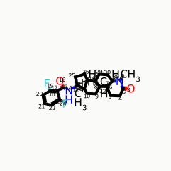 CN1C(=O)CC[C@]2(C)[C@H]3CC[C@]4(C)C(NC(=O)c5c(F)cccc5F)CC[C@H]4[C@@H]3CC[C@@H]12